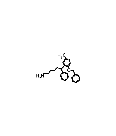 Cc1ccc(OCc2ccccc2)c(C(CCCCCN)c2ccccc2)c1